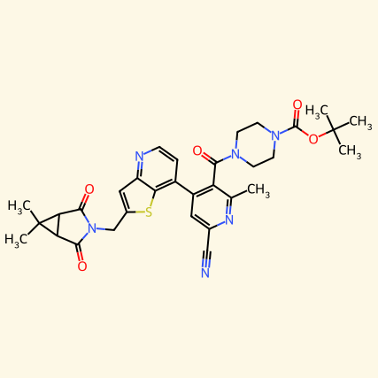 Cc1nc(C#N)cc(-c2ccnc3cc(CN4C(=O)C5C(C4=O)C5(C)C)sc23)c1C(=O)N1CCN(C(=O)OC(C)(C)C)CC1